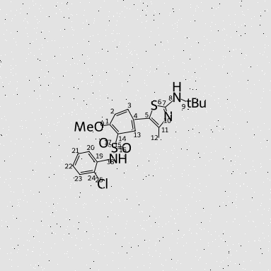 COc1ccc(-c2sc(NC(C)(C)C)nc2C)cc1S(=O)(=O)Nc1ccccc1Cl